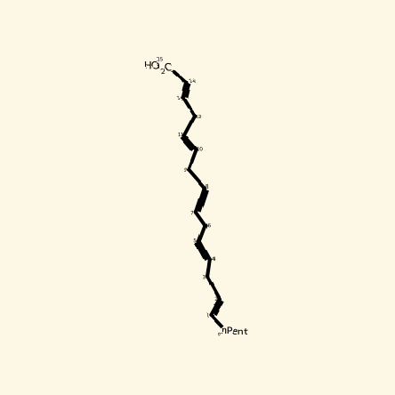 CCCCCC=CCC=CCC=CCC=CCC=CC(=O)O